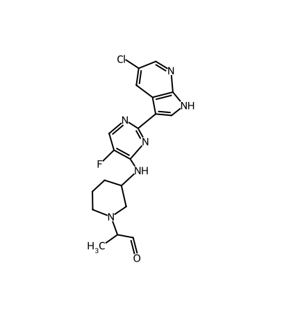 CC(C=O)N1CCCC(Nc2nc(-c3c[nH]c4ncc(Cl)cc34)ncc2F)C1